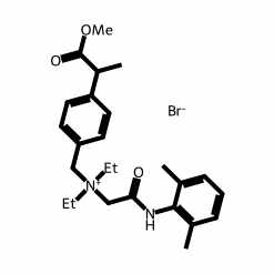 CC[N+](CC)(CC(=O)Nc1c(C)cccc1C)Cc1ccc(C(C)C(=O)OC)cc1.[Br-]